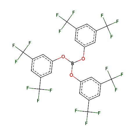 FC(F)(F)c1cc(OB(Oc2cc(C(F)(F)F)cc(C(F)(F)F)c2)Oc2cc(C(F)(F)F)cc(C(F)(F)F)c2)cc(C(F)(F)F)c1